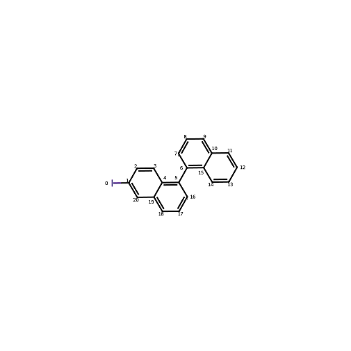 Ic1ccc2c(-c3[c]ccc4ccccc34)[c]ccc2c1